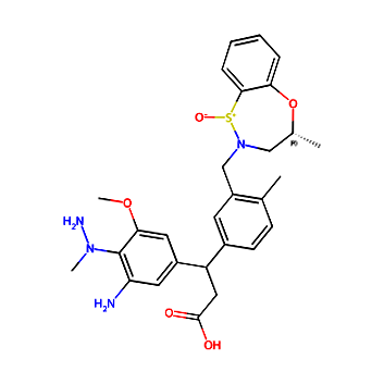 COc1cc(C(CC(=O)O)c2ccc(C)c(CN3C[C@@H](C)Oc4ccccc4[S+]3[O-])c2)cc(N)c1N(C)N